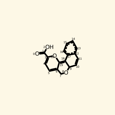 O=C(O)C1=CC=C2COC3C=Cc4ccccc4C3=C2O1